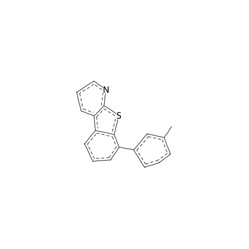 Cc1cccc(-c2cccc3c2sc2ncccc23)c1